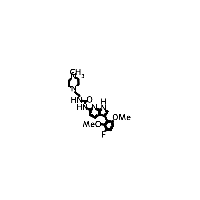 COc1ccc(F)c(OC)c1-c1c[nH]c2nc(NC(=O)NCCN3CCN(C)CC3)ccc12